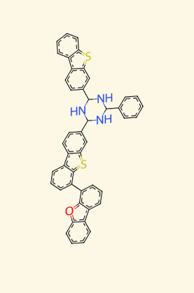 c1ccc(C2NC(c3ccc4c(c3)sc3ccccc34)NC(c3ccc4c(c3)sc3c(-c5cccc6c5oc5ccccc56)cccc34)N2)cc1